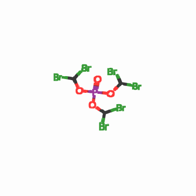 O=P(OC(Br)Br)(OC(Br)Br)OC(Br)Br